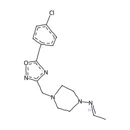 C/C=N/N1CCN(Cc2noc(-c3ccc(Cl)cc3)n2)CC1